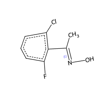 C/C(=N\O)c1c(F)cccc1Cl